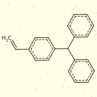 C=Cc1ccc(C(c2ccccc2)c2ccccc2)cc1